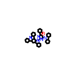 c1ccc2c(c1)oc1c(-n3c4ccccc4c4ccccc43)nc(-n3c4ccccc4c4cc5c6ccccc6n6c7ccccc7c(c43)c56)nc12